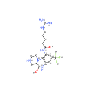 N=C(N)NCCCCC(=O)Nc1cc(C(F)(F)F)cc(NC=O)c1N1CCNCC1